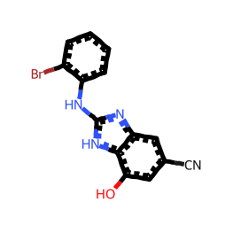 N#Cc1cc(O)c2[nH]c(Nc3ccccc3Br)nc2c1